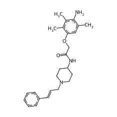 Cc1cc(OCC(=O)NC2CCN(CC=Cc3ccccc3)CC2)c(C)c(C)c1N